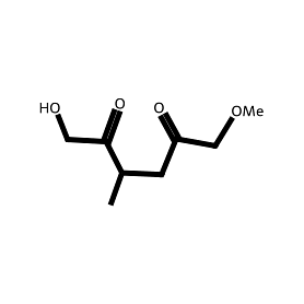 COCC(=O)CC(C)C(=O)CO